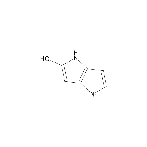 Oc1cc2c([nH]1)C=C[N]2